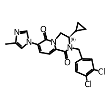 Cc1cn(-c2ccc3n(c2=O)C[C@@H](C2CC2)N(Cc2ccc(Cl)c(Cl)c2)C3=O)cn1